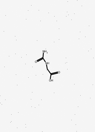 NC(=O)N[CH]C(=O)O